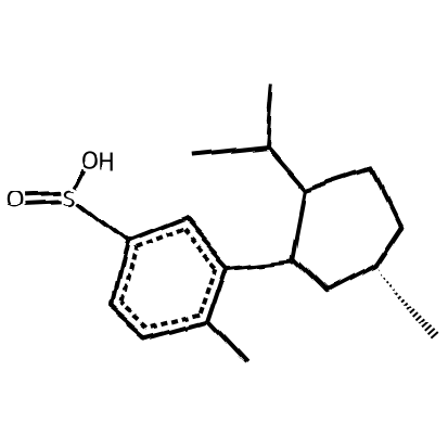 Cc1ccc(S(=O)O)cc1C1C[C@@H](C)CCC1C(C)C